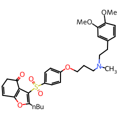 CCCCc1oc2c(c1S(=O)(=O)c1ccc(OCCCN(C)CCc3ccc(OC)c(OC)c3)cc1)C(=O)CC=C2